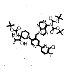 CC(C)(C)OC(=O)NC1(C(O)C(F)F)CCCN(c2cnc(-c3ccc(F)c(Cl)n3)cc2Cn2cnc3c(N(C(=O)OC(C)(C)C)C(=O)OC(C)(C)C)ncnc32)C1